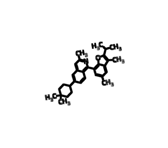 Cc1cc(-c2nc(C)cc3cc(C4CCC(C)(C)CC4)ccc23)c2oc(C(C)C)c(C)c2c1